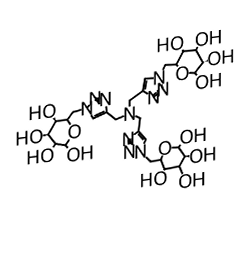 OC1OC(Cn2cc(CN(Cc3cn(CC4OC(O)[C@@H](O)C(O)[C@H]4O)nn3)Cc3cn(CC4OC(O)[C@@H](O)C(O)[C@H]4O)nn3)nn2)[C@H](O)[C@H](O)C1O